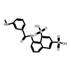 CNc1cccc(C(=O)Nc2cccc3cc(S(=O)(=O)O)cc(S(=O)(=O)O)c23)c1